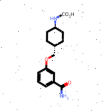 NC(=O)c1cccc(OC[C@H]2CC[C@H](NC(=O)O)CC2)c1